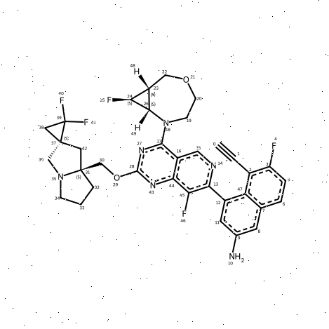 C#Cc1c(F)ccc2cc(N)cc(-c3ncc4c(N5CCOC[C@H]6[C@H](F)[C@H]65)nc(OC[C@@]56CCCN5C[C@@]5(CC5(F)F)C6)nc4c3F)c12